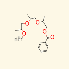 CCCOC(C)COC(C)COC(C)COC(=O)c1ccccc1